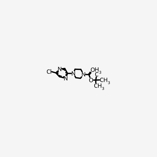 CC(C)(C)OC(=O)N1CCN(c2cnc(Cl)cn2)CC1